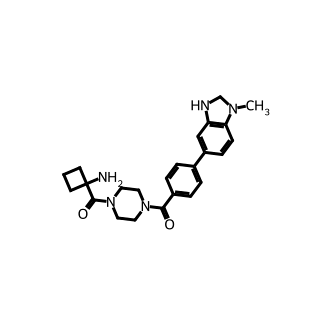 CN1CNc2cc(-c3ccc(C(=O)N4CCN(C(=O)C5(N)CCC5)CC4)cc3)ccc21